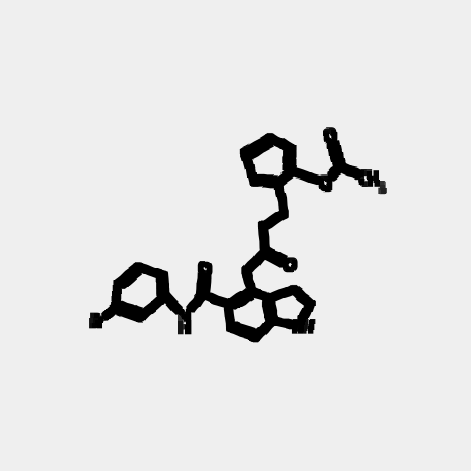 CC(=O)Oc1ccccc1CCC(=O)Cc1c(C(=O)Nc2cccc(Br)c2)ccc2c1CCN2